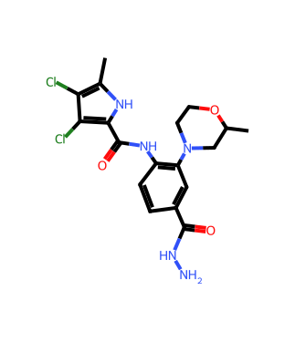 Cc1[nH]c(C(=O)Nc2ccc(C(=O)NN)cc2N2CCOC(C)C2)c(Cl)c1Cl